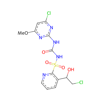 COc1cc(Cl)nc(NC(=O)NS(=O)(=O)c2ncccc2C(O)CCl)n1